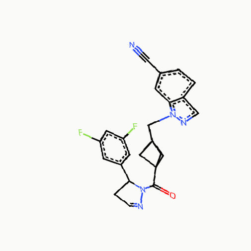 N#Cc1ccc2cnn(CC34CC(C(=O)N5N=CCC5c5cc(F)cc(F)c5)(C3)C4)c2c1